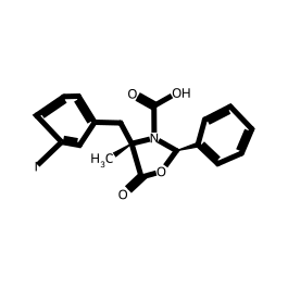 C[C@]1(Cc2cccc(I)c2)C(=O)O[C@H](c2ccccc2)N1C(=O)O